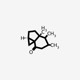 CC1CC(=O)C23C[C@H]2CC[C@]3(C)C1C